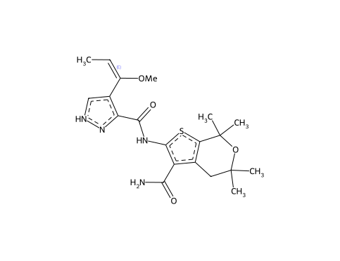 C/C=C(/OC)c1c[nH]nc1C(=O)Nc1sc2c(c1C(N)=O)CC(C)(C)OC2(C)C